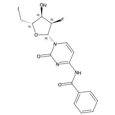 O=C(Nc1ccn([C@@H]2O[C@H](CI)[C@@H](O)[C@H]2F)c(=O)n1)c1ccccc1